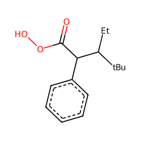 CCC(C(C(=O)OO)c1ccccc1)C(C)(C)C